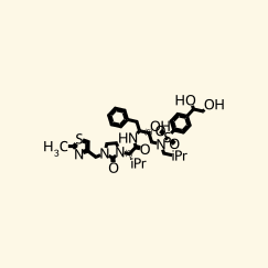 Cc1nc(CN2CCN([C@H](C(=O)NC(Cc3ccccc3)[C@@H](O)CN(CC(C)C)S(=O)(=O)c3ccc(C(O)CO)cc3)C(C)C)C2=O)cs1